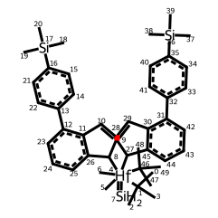 C[C](C)(C)[Hf]([CH3])([CH3])(=[SiH2])([CH]1C=Cc2c(-c3ccc([Si](C)(C)C)cc3)cccc21)([CH]1C=Cc2c(-c3ccc([Si](C)(C)C)cc3)cccc21)[C](C)(C)C